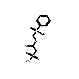 O=C(CS(=O)(=O)O)OCP(=O)(O)c1ccccc1